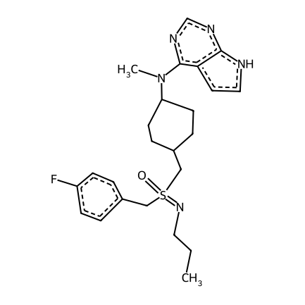 CCCN=S(=O)(Cc1ccc(F)cc1)CC1CCC(N(C)c2ncnc3[nH]ccc23)CC1